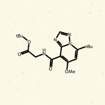 CCCCc1cc(OC)c(C(=O)NCC(=O)OC(C)(C)C)c2ncnn12